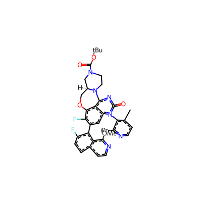 COc1nccc2ccc(F)c(-c3cc4c5c(nc(=O)n4-c4c(C)ccnc4C(C)C)N4CCN(C(=O)OC(C)(C)C)C[C@@H]4COc5c3F)c12